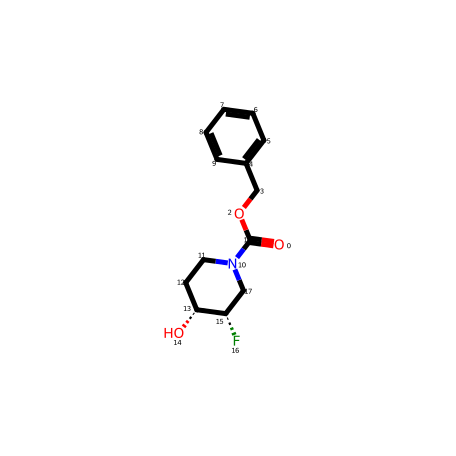 O=C(OCc1ccccc1)N1CC[C@@H](O)[C@@H](F)C1